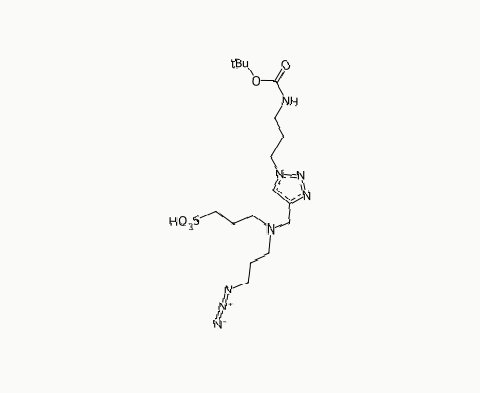 CC(C)(C)OC(=O)NCCCn1cc(CN(CCCN=[N+]=[N-])CCCS(=O)(=O)O)nn1